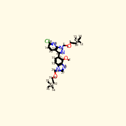 COc1c(-c2nn(COCC[Si](C)(C)C)c3nc(Cl)ccc23)ccc2c1ncn2COCC[Si](C)(C)C